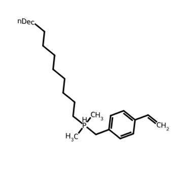 C=Cc1ccc(C[PH](C)(C)CCCCCCCCCCCCCCCCCC)cc1